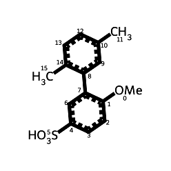 COc1ccc(S(=O)(=O)O)cc1-c1cc(C)ccc1C